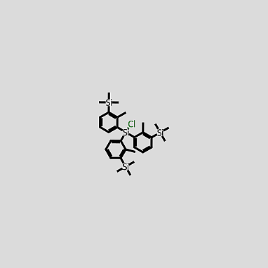 Cc1c([Si](C)(C)C)cccc1[Si](Cl)(c1cccc([Si](C)(C)C)c1C)c1cccc([Si](C)(C)C)c1C